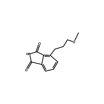 COCCCc1cccc2c1C(=O)NC2=O